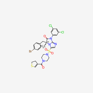 C[C@@]1(Cc2ccc(Br)cc2)C(=O)N(c2cc(Cl)cc(Cl)c2)c2ncc(S(=O)(=O)N3CCN(C(=O)C4=CSCC4)CC3)n21